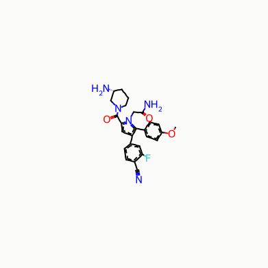 COc1ccc(-c2c(-c3ccc(C#N)c(F)c3)cc(C(=O)N3CCC[C@@H](N)C3)n2CC(N)=O)cc1